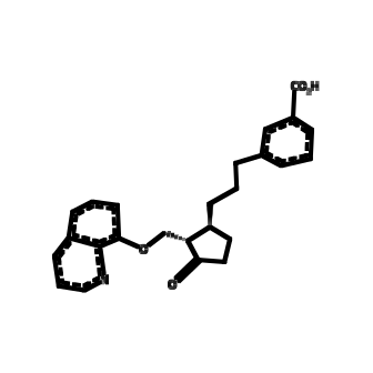 O=C(O)c1cccc(CCC[C@H]2CCC(=O)[C@@H]2COc2cccc3cccnc23)c1